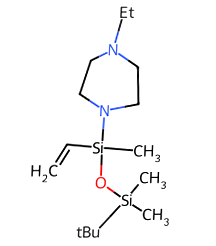 C=C[Si](C)(O[Si](C)(C)C(C)(C)C)N1CCN(CC)CC1